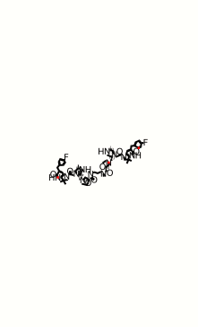 C[C@@H]1CN(CC(=O)N2CC(C)(C)c3[nH]c(=O)c(Cc4ccc(F)cc4)cc32)[C@@H](CN2CCO[C@H](C(=O)N(C)CCCN(C)C(=O)[C@@H]3CN(C[C@H]4CN[C@H](C)CN4CC(=O)N4CC(C)(C)c5[nH]c(=O)c(Cc6ccc(F)cc6)cc54)CCO3)C2)CN1